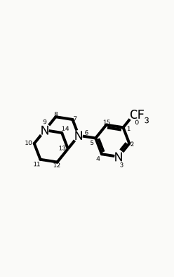 FC(F)(F)c1cncc(N2CCN3CCCC2C3)c1